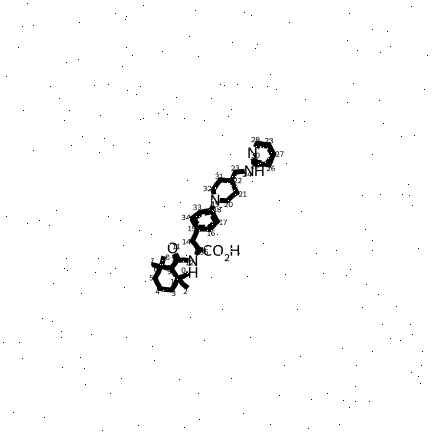 CC1(C)CCCC(C)(C)C1C(=O)NC(Cc1ccc(N2CCC(CNc3ccccn3)CC2)cc1)C(=O)O